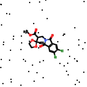 COC(=O)C(CN1C(=O)c2cc(Cl)c(Cl)cc2C1=O)C1(C)OCCO1